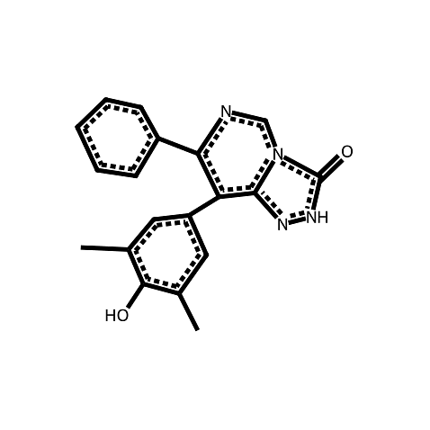 Cc1cc(-c2c(-c3ccccc3)ncn3c(=O)[nH]nc23)cc(C)c1O